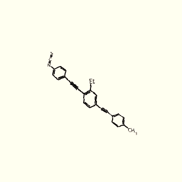 CCc1cc(C#Cc2ccc(C)cc2)ccc1C#Cc1ccc(N=C=S)cc1